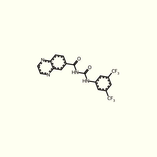 O=C(NC(=O)c1ccc2nccnc2c1)Nc1cc(C(F)(F)F)cc(C(F)(F)F)c1